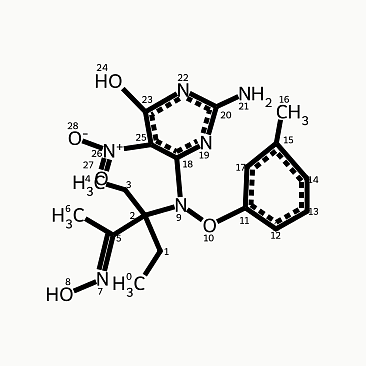 CCC(CC)(C(C)=NO)N(Oc1cccc(C)c1)c1nc(N)nc(O)c1[N+](=O)[O-]